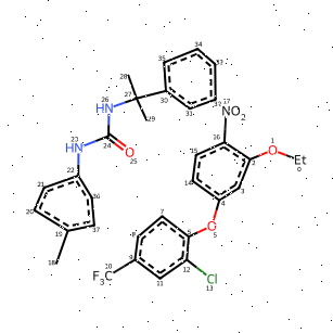 CCOc1cc(Oc2ccc(C(F)(F)F)cc2Cl)ccc1[N+](=O)[O-].Cc1ccc(NC(=O)NC(C)(C)c2ccccc2)cc1